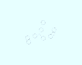 c1ccc(-c2ccc(N(c3ccc(-c4cccc5ccccc45)cc3)c3cccc(-c4ccc5sc6ccccc6c5c4)c3)cc2)cc1